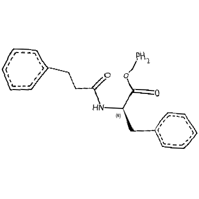 O=C(CCc1ccccc1)N[C@H](Cc1ccccc1)C(=O)OP